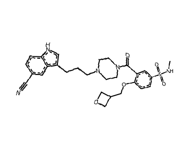 CNS(=O)(=O)c1ccc(OCC2COC2)c(C(=O)N2CCN(CCCc3c[nH]c4ccc(C#N)cc34)CC2)c1